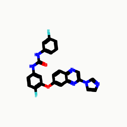 O=C(Nc1cccc(F)c1)Nc1ccc(F)c(Oc2ccc3ncc(-n4ccnc4)nc3c2)c1